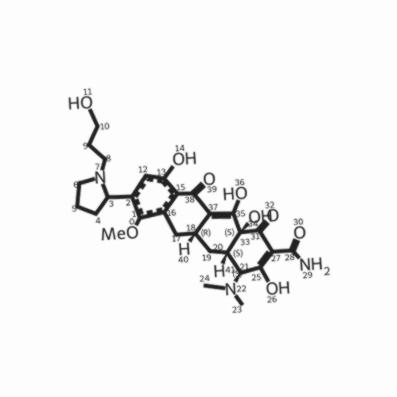 COc1c(C2CCCN2CCCO)cc(O)c2c1C[C@H]1C[C@H]3[C@H](N(C)C)C(O)=C(C(N)=O)C(=O)[C@@]3(O)C(O)=C1C2=O